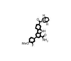 COc1ccc(-c2cc(C(N)=O)c3[nH]c4cc(C(=O)N5C[C@H]6CC[C@@H](C5)N6)ccc4c3c2)cc1F